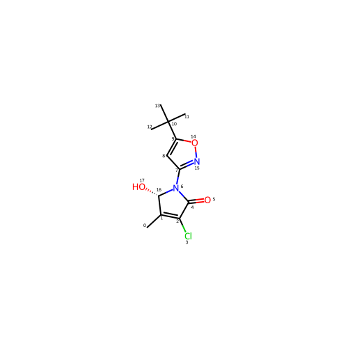 CC1=C(Cl)C(=O)N(c2cc(C(C)(C)C)on2)[C@H]1O